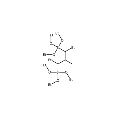 CCO[Si](OCC)(OCC)C(CC)C(C)C(CC)[Si](OCC)(OCC)OCC